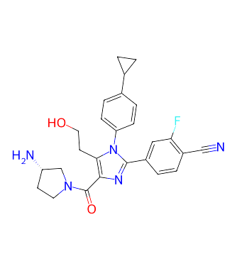 N#Cc1ccc(-c2nc(C(=O)N3CC[C@H](N)C3)c(CCO)n2-c2ccc(C3CC3)cc2)cc1F